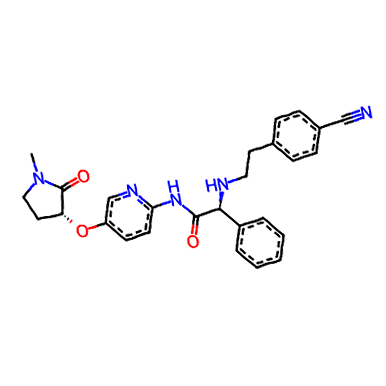 CN1CC[C@@H](Oc2ccc(NC(=O)[C@@H](NCCc3ccc(C#N)cc3)c3ccccc3)nc2)C1=O